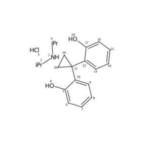 CC(C)NC(C)C.Cl.Oc1ccccc1C1(c2ccccc2O)CC1